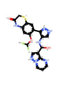 O=C1CSc2cc(-c3n[nH]cc3NC(O)c3cnn4cccnc34)c(OC(F)F)cc2N1